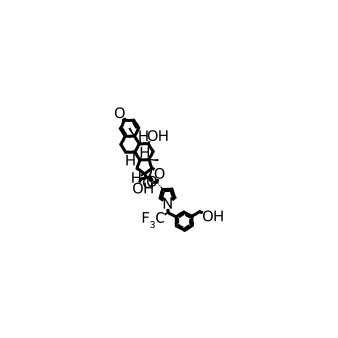 C[C@]12C=CC(=O)C=C1CC[C@@H]1[C@@H]2[C@@H](O)C[C@@]2(C)[C@H]1C[C@H]1O[C@@H](c3ccn([C@@H](c4cccc(CO)c4)C(F)(F)F)c3)O[C@]12C(=O)CO